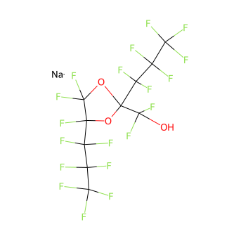 OC(F)(F)C1(C(F)(F)C(F)(F)C(F)(F)F)OC(F)(F)C(F)(C(F)(F)C(F)(F)C(F)(F)F)O1.[Na]